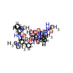 COc1c(CN2O[C@@H](CO)[C@@H]([C@H](C)OC(=O)NCCNC(C)=O)[C@H]2C(=O)NC2C[C@H]3C[C@@H]([C@@H]2C)C3(C)C)cccc1-c1cc(C(=O)N[C@@H](Cc2ccccc2)CN(C)C)cc(N(C)C)c1